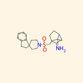 CC1(C)C2CCC1(CS(=O)(=O)N1CCC3(CCc4ccccc43)CC1)C(N)C2